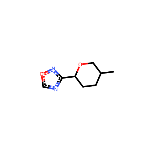 CC1CCC(c2ncon2)OC1